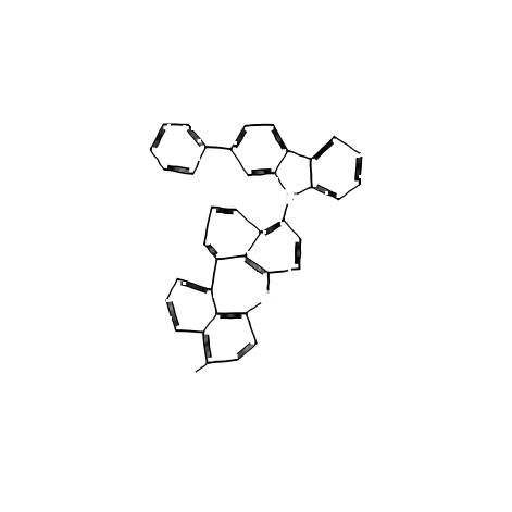 Cc1ccc2oc3ccc(-n4c5ccccc5c5ccc(-c6ccccc6)cc54)c4cccc(c5cccc1c25)c34